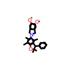 COc1cc2c(cc1OC)CN(c1c(C)c(C)c3c(c1C)C(c1ccccc1)C(C)(C)O3)C2